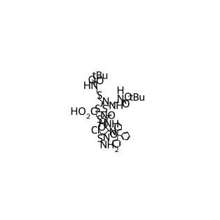 CC(C)(C)OC(=O)NCCNc1nc(CSCCNC(=O)OC(C)(C)C)c(SC2(C(=O)O)CS[C@@H]3[C@H](NC(=O)C(=NOC(c4ccccc4)(c4ccccc4)c4ccccc4)c4nc(N)sc4Cl)C(=O)N3C2)s1